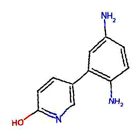 Nc1ccc(N)c(-c2ccc(O)nc2)c1